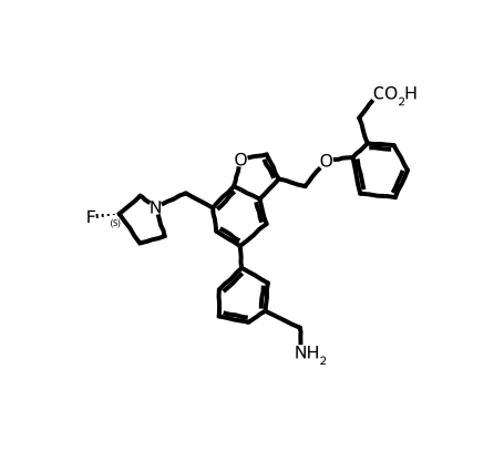 NCc1cccc(-c2cc(CN3CC[C@H](F)C3)c3occ(COc4ccccc4CC(=O)O)c3c2)c1